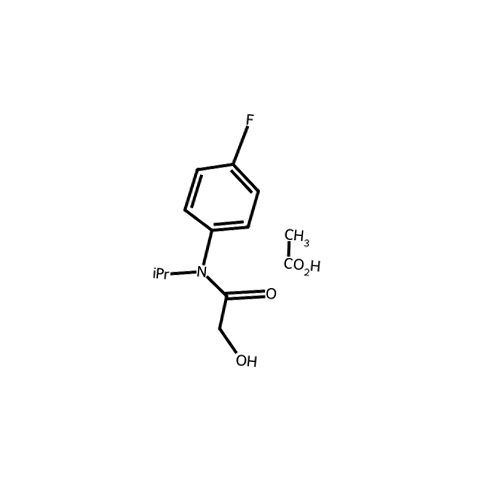 CC(=O)O.CC(C)N(C(=O)CO)c1ccc(F)cc1